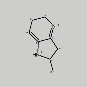 CC1CC2=NCCC=C2N1